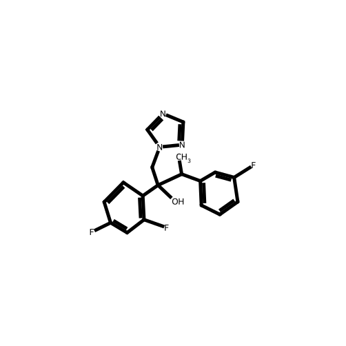 CC(c1cccc(F)c1)C(O)(Cn1cncn1)c1ccc(F)cc1F